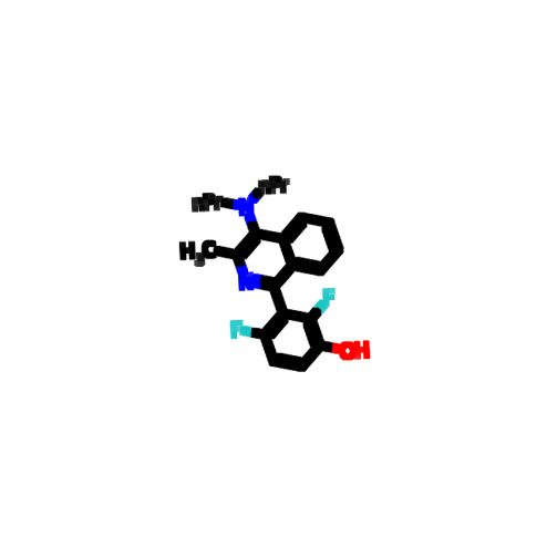 CCCN(CCC)c1c(C)nc(-c2c(F)ccc(O)c2F)c2ccccc12